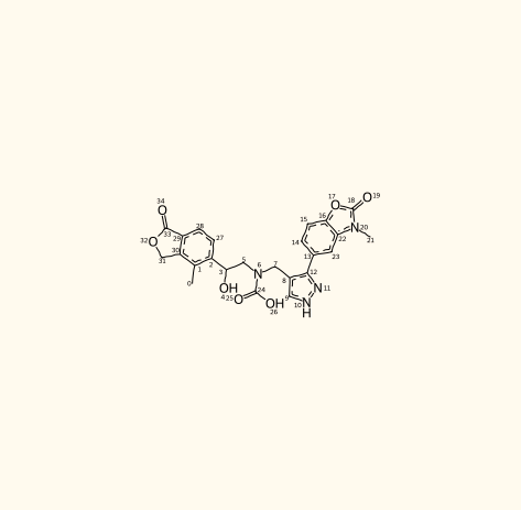 Cc1c(C(O)CN(Cc2c[nH]nc2-c2ccc3oc(=O)n(C)c3c2)C(=O)O)ccc2c1COC2=O